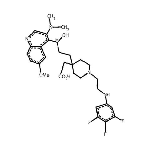 COc1ccc2ncc(N(C)C)c([C@@H](O)CCC3(CC(=O)O)CCN(CCNc4cc(F)c(F)c(F)c4)CC3)c2c1